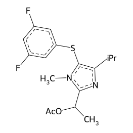 CC(=O)OC(C)c1nc(C(C)C)c(Sc2cc(F)cc(F)c2)n1C